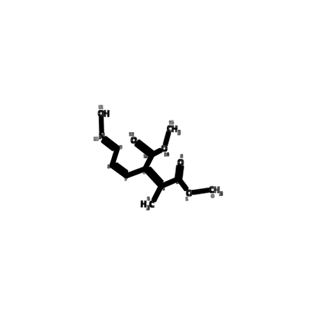 COC(=O)/C(C)=C(/C=C\C=N\O)C(=O)OC